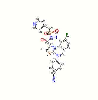 Cc1sc(N(Cc2ccc(F)cc2)c2ccc(C#N)cc2)nc1C(=O)NS(=O)(=O)Cc1ccncc1